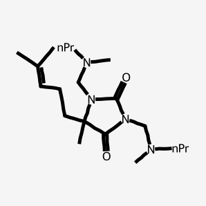 CCCN(C)CN1C(=O)N(CN(C)CCC)C(C)(CCC=C(C)C)C1=O